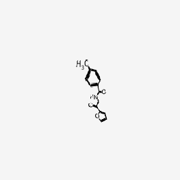 Cc1ccc(C(=O)NCC(=O)c2ccco2)cc1